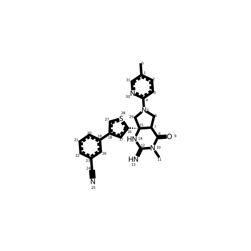 Cc1ccc(N2CC3C(=O)N(C)C(=N)N[C@@]3(c3cc(-c4cccc(C#N)c4)cs3)C2)nc1